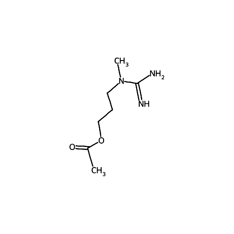 CC(=O)OCCCN(C)C(=N)N